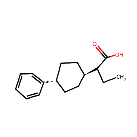 CCC(C(=O)O)[C@H]1CC[C@H](c2ccccc2)CC1